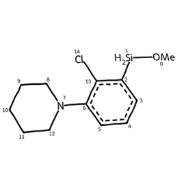 CO[SiH2]c1cccc(N2CCCCC2)c1Cl